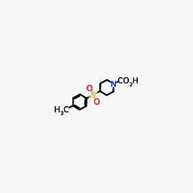 Cc1ccc(S(=O)(=O)C2CCN(C(=O)O)CC2)cc1